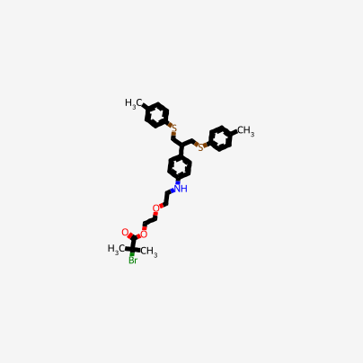 Cc1ccc(SCC(CSc2ccc(C)cc2)c2ccc(NCCOCCOC(=O)C(C)(C)Br)cc2)cc1